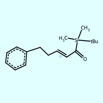 CC(C)(C)[Si](C)(C)C(=O)/C=C/CCc1ccccc1